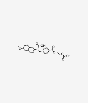 COc1ccc2cc([C@H](Cc3ccc(C(=O)OCCO[N+](=O)[O-])cc3)C(=O)O)ccc2c1